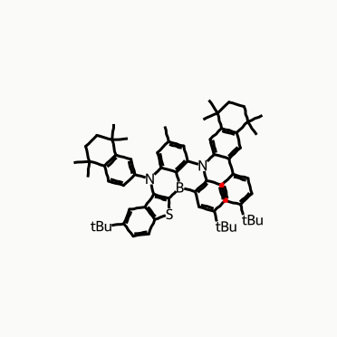 Cc1cc2c3c(c1)N(c1ccc4c(c1)C(C)(C)CCC4(C)C)c1c(sc4ccc(C(C)(C)C)cc14)B3c1cc(C(C)(C)C)ccc1N2c1cc2c(cc1-c1ccc(C(C)(C)C)cc1)C(C)(C)CCC2(C)C